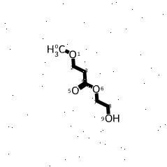 COCCC(=O)OCCO